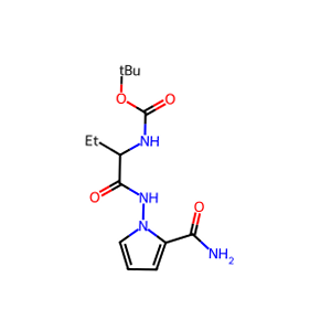 CCC(NC(=O)OC(C)(C)C)C(=O)Nn1cccc1C(N)=O